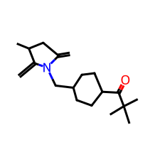 C=C1CC(C)C(=C)N1CC1CCC(C(=O)C(C)(C)C)CC1